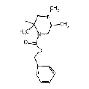 CC1CN(C(=O)OCc2ccccc2)C(C)(I)CN1C